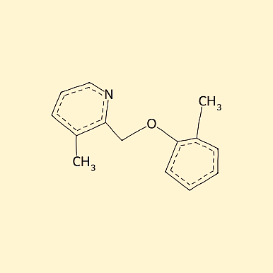 Cc1ccccc1OCc1ncccc1C